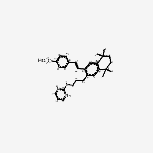 CC1(C)CCC(C)(C)c2cc(CCCSc3ncccn3)c(C=Cc3ccc(C(=O)O)cc3)cc21